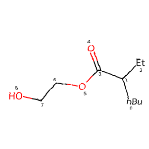 CCCCC(CC)C(=O)OCCO